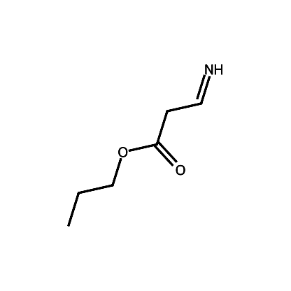 CCCOC(=O)CC=N